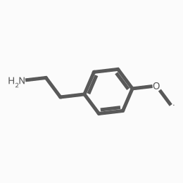 [CH2]Oc1ccc(CCN)cc1